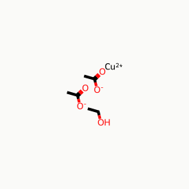 CC(=O)[O-].CC(=O)[O-].CCO.[Cu+2]